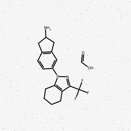 NC1Cc2ccc(-n3nc(C(F)(F)F)c4c3CCCC4)cc2C1.O=CO